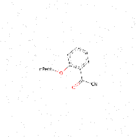 CCCCCOc1ccccc1C(=O)C#N